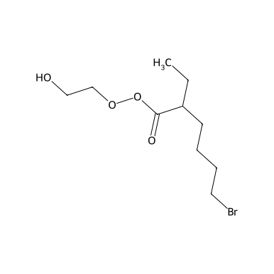 CCC(CCCCBr)C(=O)OOCCO